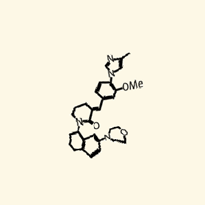 COc1cc(/C=C2\CCCN([C@@H]3CCCc4ccc(N5CCOCC5)cc43)C2=O)ccc1-n1cnc(C)c1